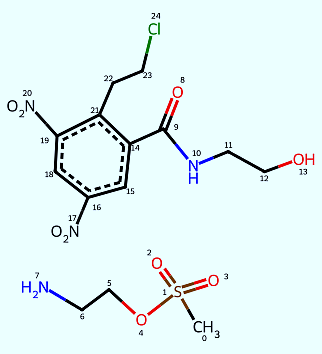 CS(=O)(=O)OCCN.O=C(NCCO)c1cc([N+](=O)[O-])cc([N+](=O)[O-])c1CCCl